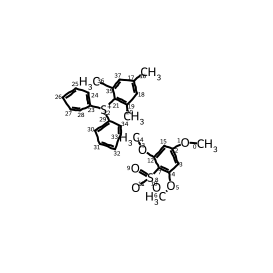 COc1cc(OC)c(S(=O)(=O)[O-])c(OC)c1.Cc1cc(C)c([S+](c2ccccc2)c2ccccc2)c(C)c1